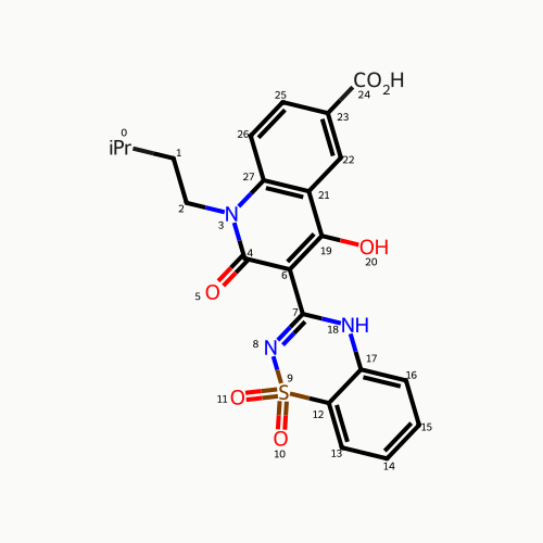 CC(C)CCn1c(=O)c(C2=NS(=O)(=O)c3ccccc3N2)c(O)c2cc(C(=O)O)ccc21